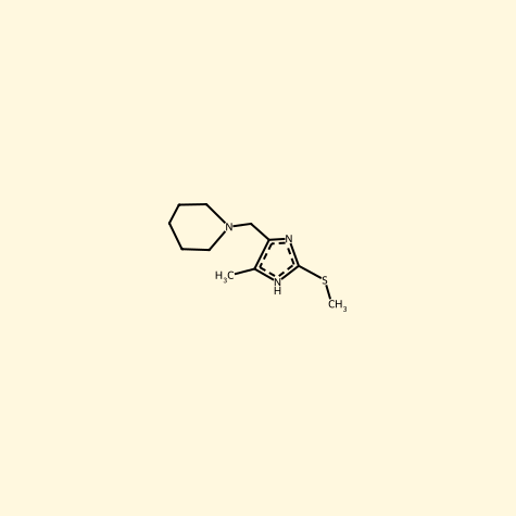 CSc1nc(CN2CCCCC2)c(C)[nH]1